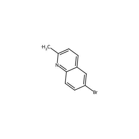 [CH2]c1ccc2cc(Br)ccc2n1